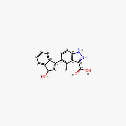 Cc1c(C2=CC(O)c3ccccc32)ccc2[nH]nc(C(=O)O)c12